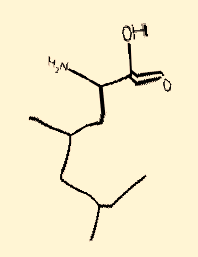 CC(C)CC(C)CC(N)C(=O)O